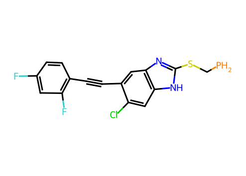 Fc1ccc(C#Cc2cc3nc(SCP)[nH]c3cc2Cl)c(F)c1